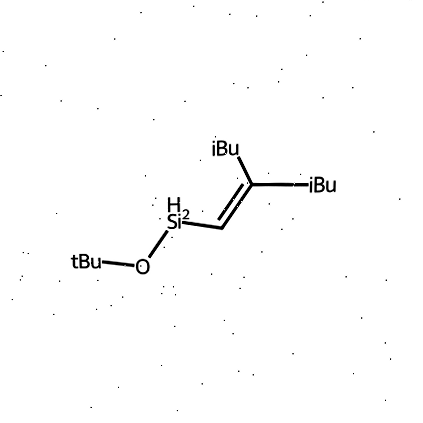 CCC(C)C(=C[SiH2]OC(C)(C)C)C(C)CC